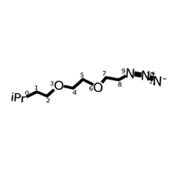 CC(C)CCOCCOCCN=[N+]=[N-]